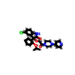 CC(C)Oc1ccccc1C1(OCC(=O)N2CCN(c3ccncc3)CC2)C(=O)Nc2ccc(Cl)cc21